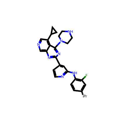 CC(C)c1ccc(Nc2cc(-c3nc(N4CCNCC4)c4c(C5CC5)cncc4n3)ccn2)c(F)c1